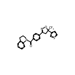 O=C(c1ccc(C2=NOC(c3ccsc3)(C(F)(F)F)C2)cc1)N1CCCc2ccccc21